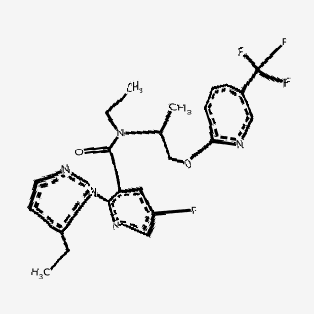 CCc1ccnn1-c1ncc(F)cc1C(=O)N(CC)C(C)COc1ccc(C(F)(F)F)cn1